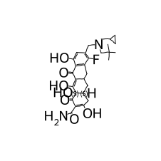 CC(C)(C)CN(Cc1cc(O)c2c(c1F)CC1C[C@H]3CC(O)=C(C(N)=O)C(=O)[C@@]3(O)C(O)=C1C2=O)CC1CC1